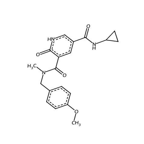 COc1ccc(CN(C)C(=O)c2cc(C(=O)NC3CC3)c[nH]c2=O)cc1